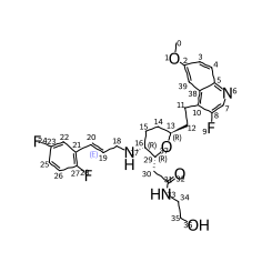 COc1ccc2ncc(F)c(CC[C@@H]3CC[C@@H](NC/C=C/c4cc(F)ccc4F)[C@@H](CC(=O)NCCO)O3)c2c1